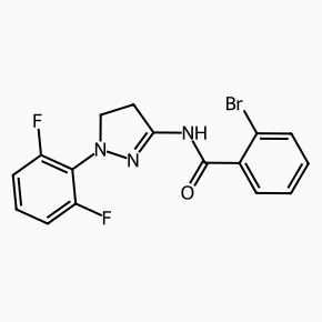 O=C(NC1=NN(c2c(F)cccc2F)CC1)c1ccccc1Br